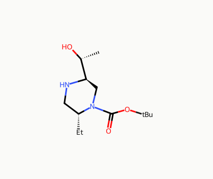 CC[C@@H]1CN[C@@H]([C@@H](C)O)CN1C(=O)OC(C)(C)C